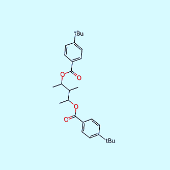 CC(OC(=O)c1ccc(C(C)(C)C)cc1)C(C)C(C)OC(=O)c1ccc(C(C)(C)C)cc1